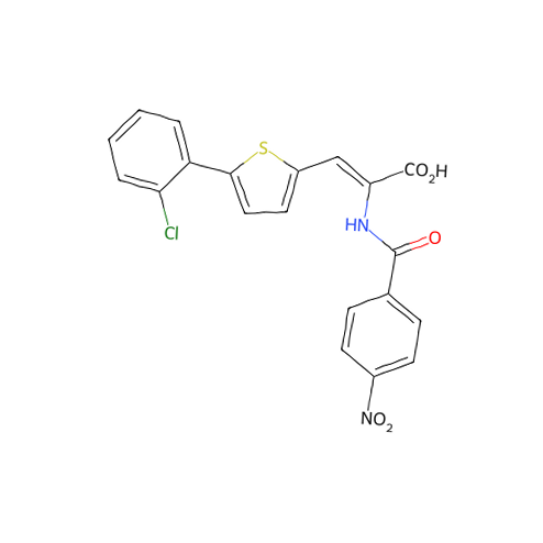 O=C(O)C(=Cc1ccc(-c2ccccc2Cl)s1)NC(=O)c1ccc([N+](=O)[O-])cc1